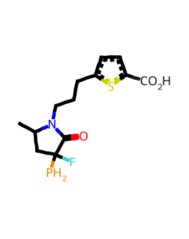 CC1CC(F)(P)C(=O)N1CCCc1ccc(C(=O)O)s1